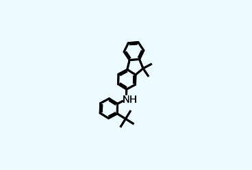 CC(C)(C)c1ccccc1Nc1ccc2c(c1)C(C)(C)c1ccccc1-2